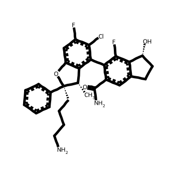 C[C@H]1c2c(cc(F)c(Cl)c2-c2c(C(N)=O)cc3c(c2F)[C@H](O)CC3)O[C@]1(CCCCN)c1ccccc1